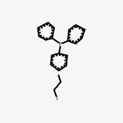 CCCI.c1ccc(P(c2ccccc2)c2ccccc2)cc1